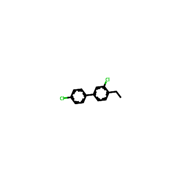 CCc1ccc(-c2ccc(Cl)cc2)cc1Cl